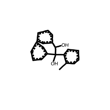 Cc1ccccc1C(O)(c1ccccc1)C(O)c1ccccc1